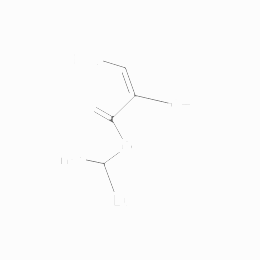 C/C=C(/C)C(=O)OC(CC)CCC